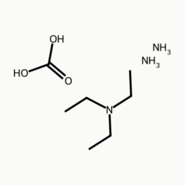 CCN(CC)CC.N.N.O=C(O)O